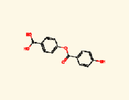 O=C(Oc1ccc(B(O)O)cc1)c1ccc(O)cc1